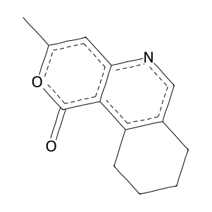 Cc1cc2ncc3c(c2c(=O)o1)CCCC3